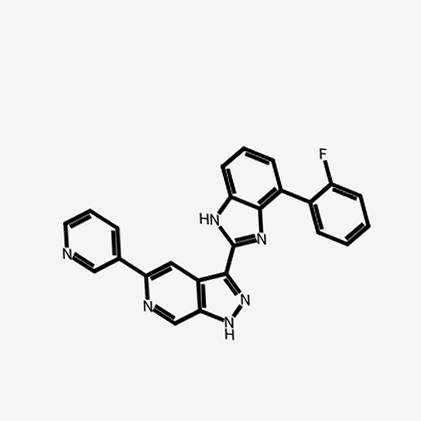 Fc1ccccc1-c1cccc2[nH]c(-c3n[nH]c4cnc(-c5cccnc5)cc34)nc12